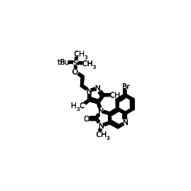 Cc1nn(CCO[Si](C)(C)C(C)(C)C)c(C)c1-n1c(=O)n(C)c2cnc3ccc(Br)cc3c21